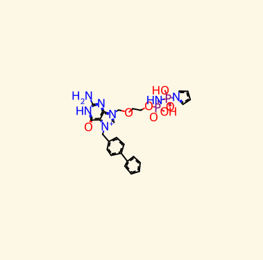 Nc1nc2c(c(=O)[nH]1)[n+](Cc1ccc(-c3ccccc3)cc1)cn2COCCOP(=O)(O)NP(=O)(O)n1cccc1